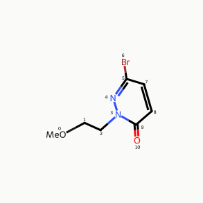 COCCn1nc(Br)ccc1=O